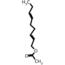 CCC=CCCC=CCOC(C)=O